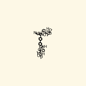 COC(=O)N[C@H](C(=O)N1CCC[C@H]1c1nc(-c2ccc(-c3ccc4nc([C@@H]5CCCN5C(=O)[C@@H](NC(=O)OC)C(C)C)[nH]c4c3)cc2)c(CC#N)[nH]1)C(C)C